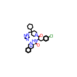 O=C(NC(Cc1ccc(Cl)cc1)C(=O)N1CCC(Cn2cncn2)(C2CCCCC2)CC1)[C@H]1Cc2ccccc2CN1